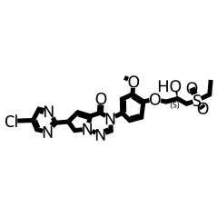 CCS(=O)(=O)C[C@@H](O)COc1ccc(N2C=NN3CC(c4ncc(Cl)cn4)C=C3C2=O)cc1OC